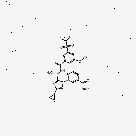 CNC(=O)c1cc(-n2nc(C3CC3)nc2[C@H](C)NC(=O)c2cc(OC(F)(F)F)cc(S(=O)(=O)C(F)F)c2)ncn1